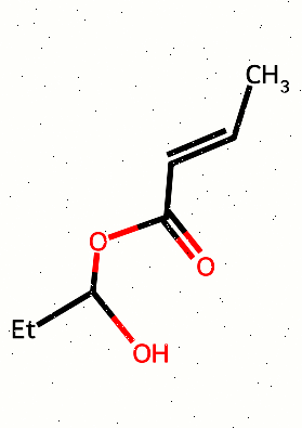 CC=CC(=O)OC(O)CC